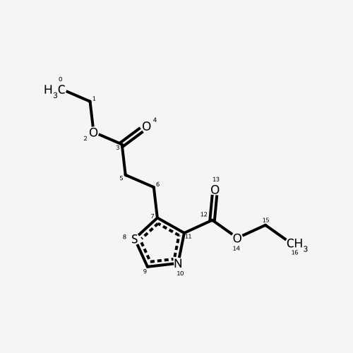 CCOC(=O)CCc1scnc1C(=O)OCC